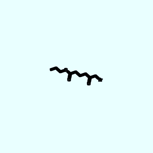 CCCOC(=O)CCCC(=O)CBr